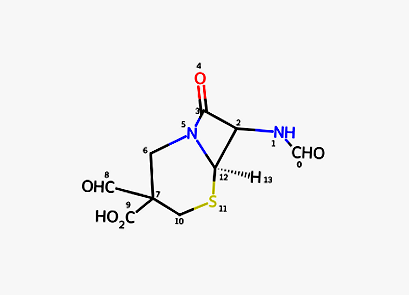 O=CNC1C(=O)N2CC(C=O)(C(=O)O)CS[C@H]12